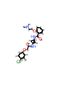 CN(C)CCOc1ccccc1C(=O)NC12CC(NC(=O)COc3ccc(Cl)c(F)c3)(C1)C2